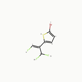 FC=C(c1ccc(Br)s1)C(F)F